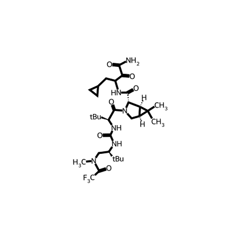 CN(C[C@@H](NC(=O)N[C@H](C(=O)N1C[C@H]2[C@@H]([C@H]1C(=O)NC(CC1CC1)C(=O)C(N)=O)C2(C)C)C(C)(C)C)C(C)(C)C)C(=O)C(F)(F)F